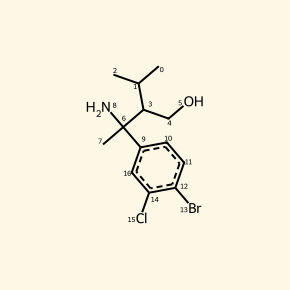 CC(C)C(CO)C(C)(N)c1ccc(Br)c(Cl)c1